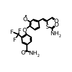 COc1cc(/C=C(/C=O)SC(N)=O)ccc1Oc1ccc(C(N)=O)cc1C(F)(F)F